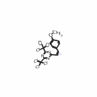 COc1ccc(/C=C\c2nc(C(Cl)(Cl)Cl)nc(C(Cl)(Cl)Cl)n2)cc1